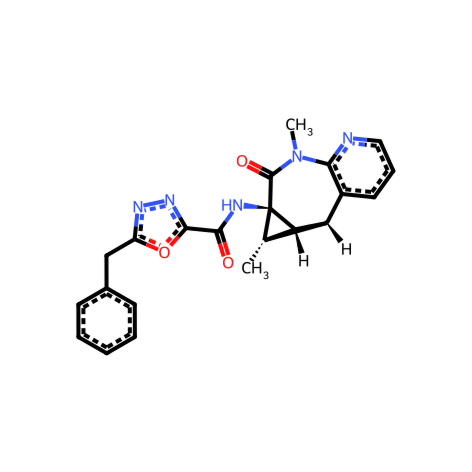 CN1C(=O)[C@]2(NC(=O)c3nnc(Cc4ccccc4)o3)[C@@H]3[C@H](c4cccnc41)[C@]32C